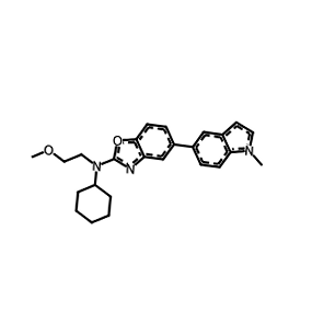 COCCN(c1nc2cc(-c3ccc4c(ccn4C)c3)ccc2o1)C1CCCCC1